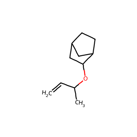 C=CC(C)OC1CC2CCC1C2